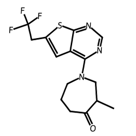 CC1CN(c2ncnc3sc(CC(F)(F)F)cc23)CCCC1=O